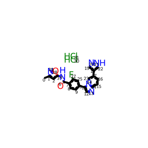 Cc1cc(NC(=O)c2ccc(-c3cnc4ccc(-c5cn[nH]c5)cn34)cc2F)on1.Cl.Cl